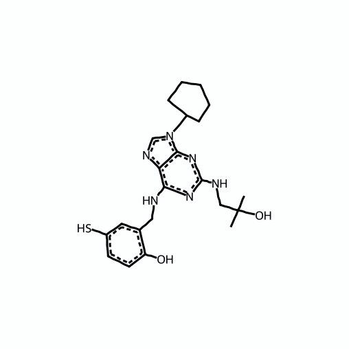 CC(C)(O)CNc1nc(NCc2cc(S)ccc2O)c2ncn(C3CCCCC3)c2n1